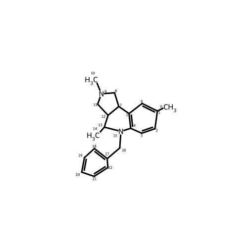 Cc1ccc2c(c1)C1CN(C)CC1C(C)N2Cc1ccccc1